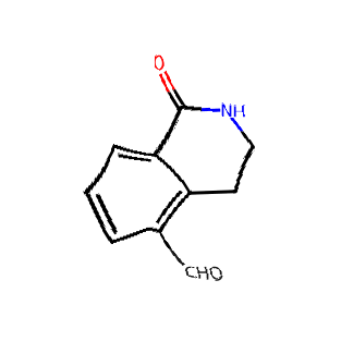 O=Cc1cccc2c1CCNC2=O